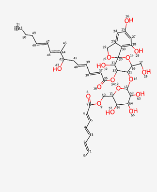 C/C=C/C=C/C=C/C(=O)OCC1OC(OC2C(CO)OC3(OCc4cc(O)cc(O)c43)C(O)C2OC(=O)/C=C/C=C/CC(O)/C(C)=C/C=C/CCC(C)CC)C(O)C(O)C1O